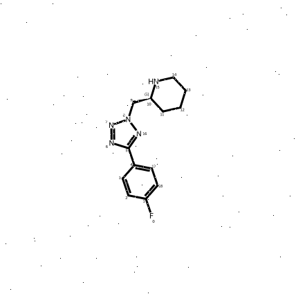 Fc1ccc(-c2nnn(C[C@@H]3CCCCN3)n2)cc1